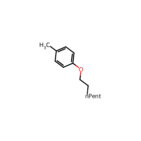 CCCCCCCOc1ccc(C)cc1